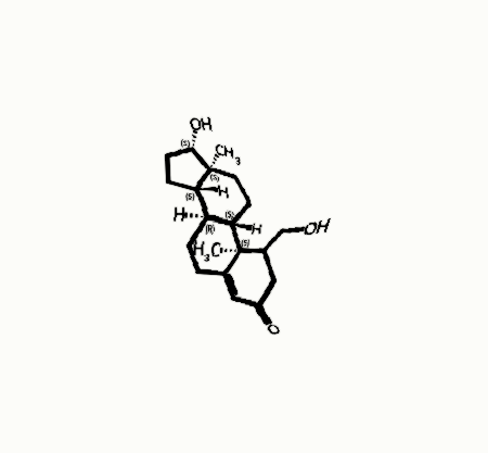 C[C@]12CC[C@H]3[C@@H](CCC4=CC(=O)CC(CO)[C@@]43C)[C@@H]1CC[C@@H]2O